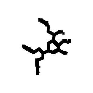 CC(C)C1=CC(C(CN=[N+]=[N-])CN=[N+]=[N-])CC(C(C)CN=[N+]=[N-])=C1S(=O)(=O)O